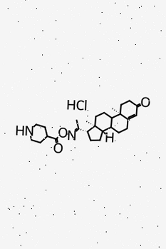 C/C(=N\OC(=O)C1CCNCC1)[C@H]1CC[C@H]2C3CCC4=CC(=O)CC[C@]4(C)C3CC[C@]12C.Cl